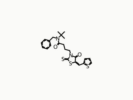 CC(C)(C)N(Cc1ccccc1)C(=O)CCCN1C(=O)/C(=C\c2cccs2)SC1=S